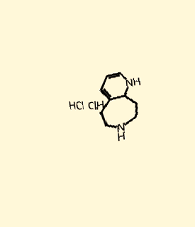 C1=CNC2CCNCCC2=C1.Cl.Cl